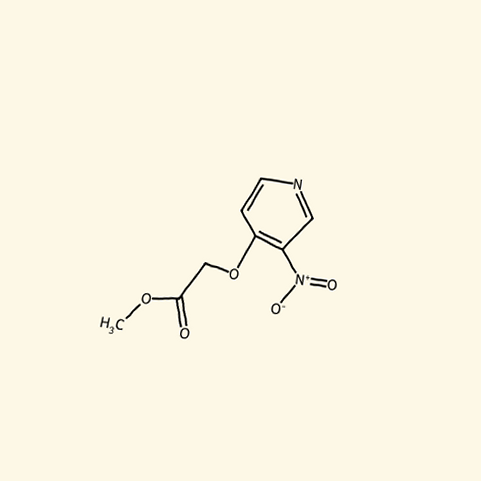 COC(=O)COc1ccncc1[N+](=O)[O-]